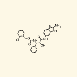 Nc1nc2ccc(NC(=O)C(O)C(NC(=O)OCc3ccccc3Cl)c3ccccc3)cc2[nH]1